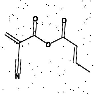 C=C(C#N)C(=O)OC(=O)/C=C/C